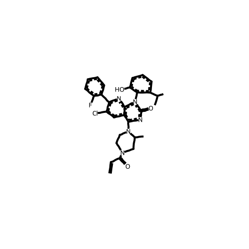 C=CC(=O)N1CCN(c2nc(=O)n(-c3c(O)cccc3C(C)C)c3nc(-c4ccccc4F)c(Cl)cc23)C(C)C1